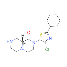 O=C1[C@H]2CNCCN2CCN1c1sc(C2CCCCC2)nc1Cl